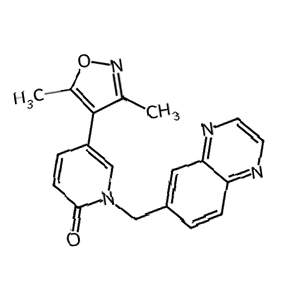 Cc1noc(C)c1-c1ccc(=O)n(Cc2ccc3nccnc3c2)c1